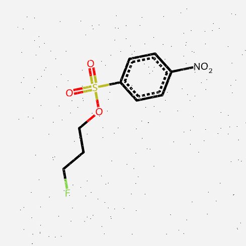 O=[N+]([O-])c1ccc(S(=O)(=O)OCCCF)cc1